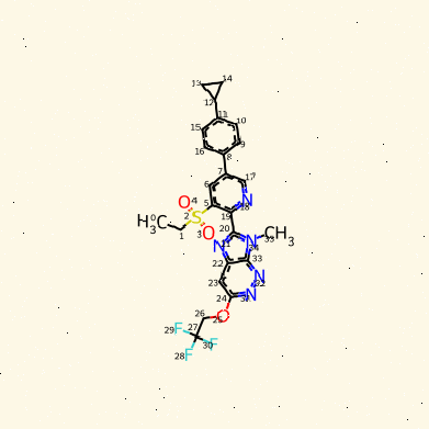 CCS(=O)(=O)c1cc(-c2ccc(C3CC3)cc2)cnc1-c1nc2cc(OCC(F)(F)F)nnc2n1C